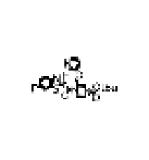 CC(C)(C)OC(=O)N1CCN(C(=O)Nc2nc3ccc(F)cc3s2)C(COc2cccnc2)C1